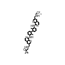 Cc1c(Nc2nccc3cc(CNCC(=O)N(C)C)cnc23)cccc1-c1cccc(Nc2nccc3cc(CNCC(F)(F)F)cnc23)c1C